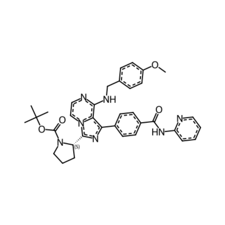 COc1ccc(CNc2nccn3c([C@@H]4CCCN4C(=O)OC(C)(C)C)nc(-c4ccc(C(=O)Nc5ccccn5)cc4)c23)cc1